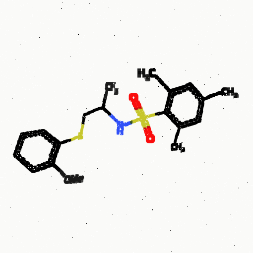 COc1ccccc1SCC(NS(=O)(=O)c1c(C)cc(C)cc1C)C(F)(F)F